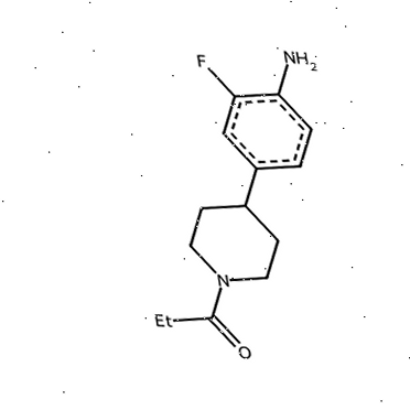 CCC(=O)N1CCC(c2ccc(N)c(F)c2)CC1